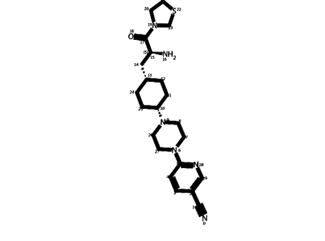 N#Cc1ccc(N2CCN([C@H]3CC[C@@H](C[C@H](N)C(=O)N4CCSC4)CC3)CC2)nc1